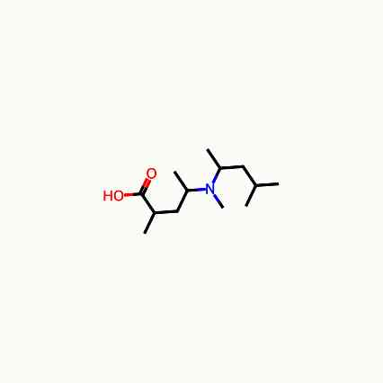 CC(C)CC(C)N(C)C(C)CC(C)C(=O)O